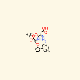 COC(=O)[C@H](COC1CCCC1C(C)C)NC(=O)[C@@H](N)CC(=O)O